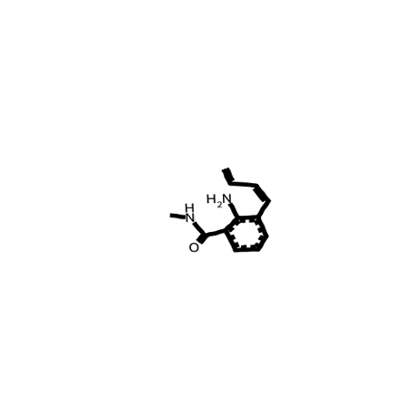 C=C/C=C\c1cccc(C(=O)NC)c1N